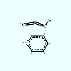 CCN=C=O.c1ccncc1